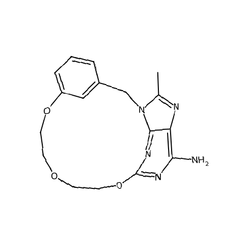 Cc1nc2c(N)nc3nc2n1Cc1cccc(c1)OCCOCCO3